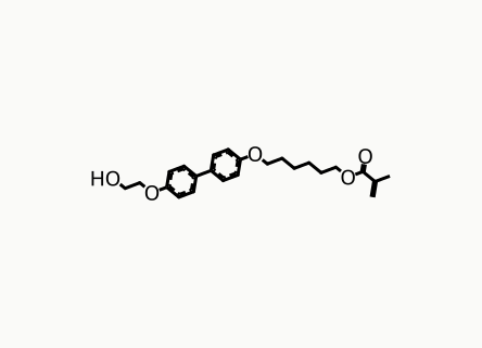 C=C(C)C(=O)OCCCCCCOc1ccc(-c2ccc(OCCO)cc2)cc1